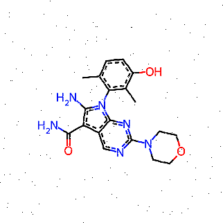 Cc1ccc(O)c(C)c1-n1c(N)c(C(N)=O)c2cnc(N3CCOCC3)nc21